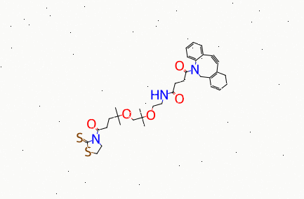 CC(C)(CCC(=O)N1CCSC1=S)OCC(C)(C)OCCNC(=O)CCC(=O)N1CC2=C(C#Cc3ccccc31)CCC=C2